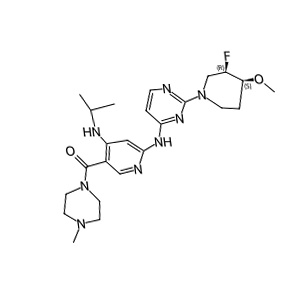 CO[C@H]1CCN(c2nccc(Nc3cc(NC(C)C)c(C(=O)N4CCN(C)CC4)cn3)n2)C[C@H]1F